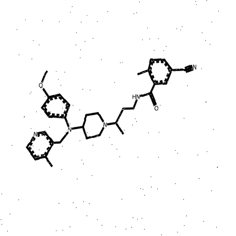 COc1ccc(N(Cc2cnccc2C)C2CCN(C(C)CCNC(=O)c3cc(C#N)ccc3C)CC2)cc1